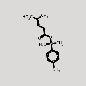 CC(=CCC(=O)O[Si](C)(C)c1ccc(C)cc1)C(=O)O